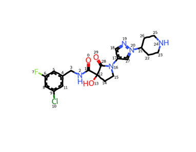 O=C(NCc1cc(F)cc(Cl)c1)C1(O)CCN(c2cnn(C3CCNCC3)c2)C1=O